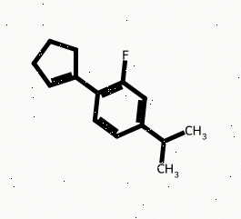 CC(C)c1ccc(C2=CCCC2)c(F)c1